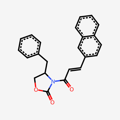 O=C(C=Cc1ccc2ccccc2c1)N1C(=O)OCC1Cc1ccccc1